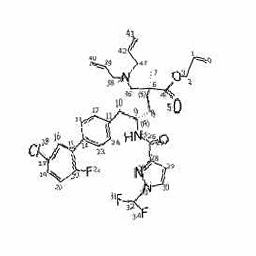 C=CCOC(=O)[C@@](C)(C[C@@H](Cc1ccc(-c2cc(Cl)ccc2F)cc1)NC(=O)c1ccn(C(F)F)n1)CN(CC=C)CC=C